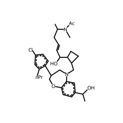 CCCc1cc(Cl)ccc1C1COc2ccc(C(C)O)cc2N(CC2CCC2C(O)/C=C/CC(C)N(C)C(C)=O)C1